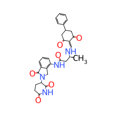 C[C@@H](CC(=O)Nc1cccc2c1CN(C1CCC(=O)NC1=O)C2=O)NC=C1C(=O)CC(c2ccccc2)CC1=O